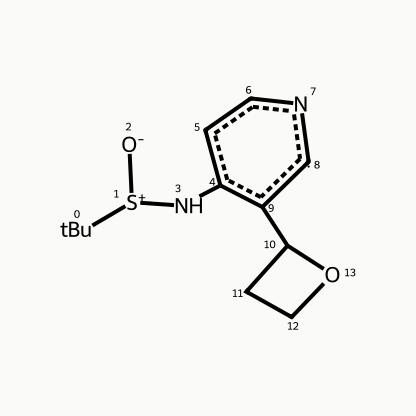 CC(C)(C)[S+]([O-])Nc1ccn[c]c1C1CCO1